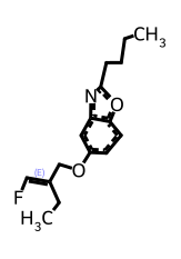 CCCCc1nc2cc(OC/C(=C/F)CC)ccc2o1